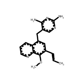 CC=Cc1cc(Cc2cnc(N)nc2N)c2cccnc2c1OC